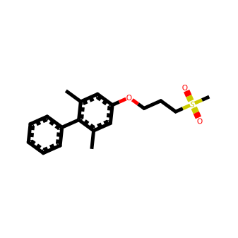 Cc1cc(OCCCS(C)(=O)=O)cc(C)c1-c1ccccc1